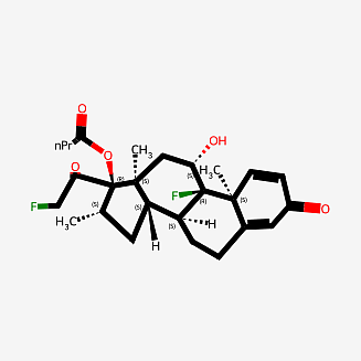 CCCC(=O)O[C@]1(C(=O)CF)[C@@H](C)C[C@H]2[C@@H]3CCC4=CC(=O)C=C[C@]4(C)[C@@]3(F)[C@@H](O)C[C@@]21C